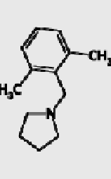 Cc1cccc(C)c1CN1CCCC1